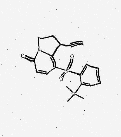 C#CC1CCn2c1c(S(=O)(=O)c1ccccc1[Si](C)(C)C)ccc2=O